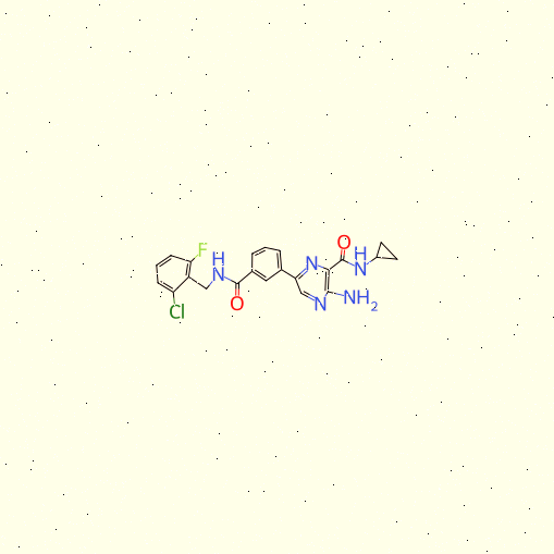 Nc1ncc(-c2cccc(C(=O)NCc3c(F)cccc3Cl)c2)nc1C(=O)NC1CC1